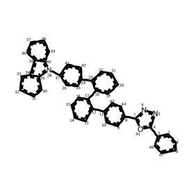 c1ccc(-c2nnc(-c3ccc(-c4ccccc4-c4ccccc4-c4ccc(-n5c6ccccc6c6ccccc65)cc4)cc3)o2)cc1